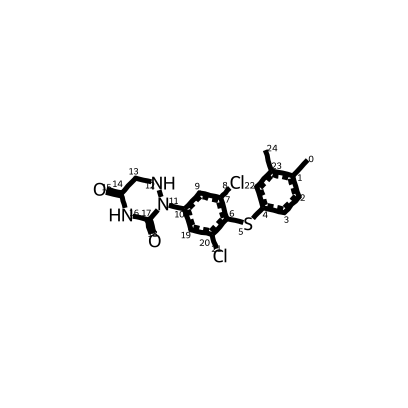 Cc1ccc(Sc2c(Cl)cc(N3NCC(=O)NC3=O)cc2Cl)cc1C